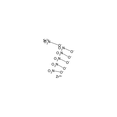 O=[N+]([O-])[O-].O=[N+]([O-])[O-].O=[N+]([O-])[O-].O=[N+]([O-])[O-].O=[N+]([O-])[O-].O=[N+]([O-])[O-].[Sr+2].[Zr+4]